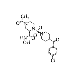 CC(=O)N1CCN(S(=O)(=O)N2CCC(C(=O)c3ccc(Cl)cc3)CC2)C(C(=O)NO)C1